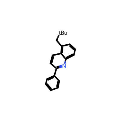 CC(C)(C)Cc1cccc2nc(-c3ccccc3)ccc12